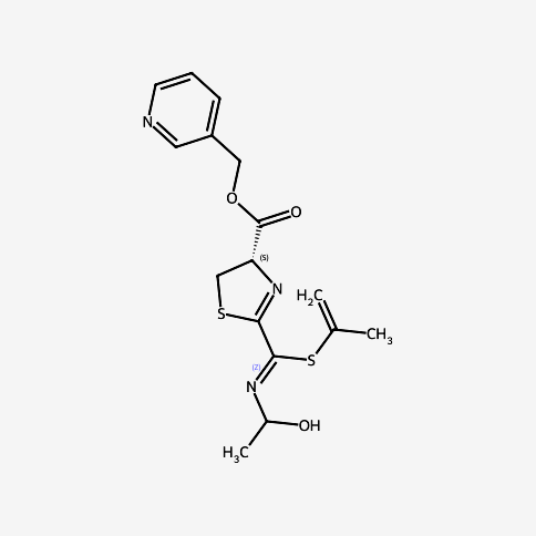 C=C(C)S/C(=N\C(C)O)C1=N[C@@H](C(=O)OCc2cccnc2)CS1